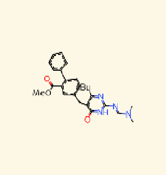 CCCCc1nc(N=CN(C)C)[nH]c(=O)c1Cc1ccc(-c2ccccc2)c(C(=O)OC)c1